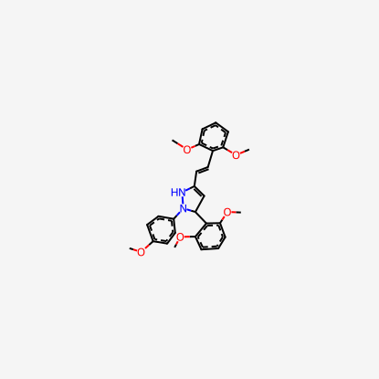 COc1ccc(N2NC(C=Cc3c(OC)cccc3OC)=CC2c2c(OC)cccc2OC)cc1